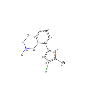 CC(C)c1sc(-c2cccc3c2CN(C)CC3)cc1F